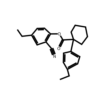 CCc1ccc(C2(C(=O)Oc3ccc(CC)cc3C#N)CCCCC2)cc1